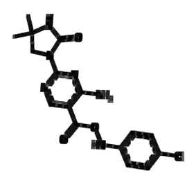 CC1(C)CN(c2ncc(C(=O)ONc3ccc(Cl)cc3)c(N)n2)C(=O)N1